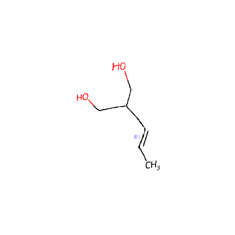 C/C=C/C(CO)CO